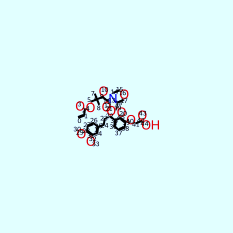 C=CC(=O)OCC(C)(C)C(=O)C(=O)N1CCOC[C@H]1C(=O)O[C@H](CCc1ccc(OC)c(OC)c1)c1cccc(OCC(=O)O)c1